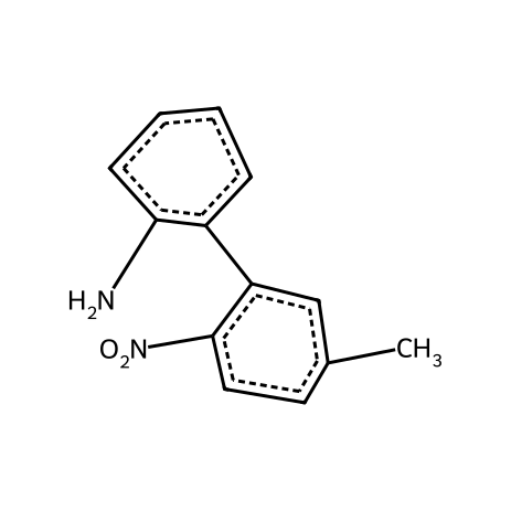 Cc1ccc([N+](=O)[O-])c(-c2ccccc2N)c1